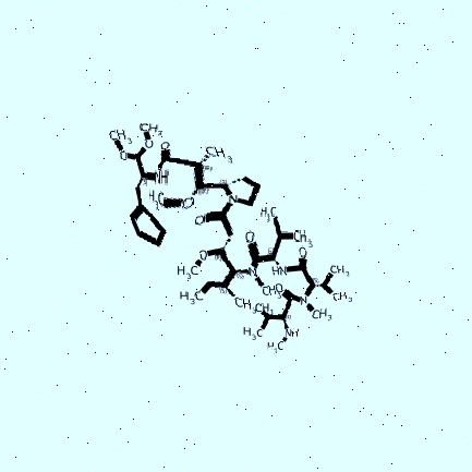 CC[C@H](C)[C@@H]([C@@H](CC(=O)N1CCC[C@H]1[C@H](OC)[C@@H](C)C(=O)N[C@@H](Cc1ccccc1)C(OC)OC)OC)N(C)C(=O)[C@@H](NC(=O)[C@H](C(C)C)N(C)C(=O)[C@@H](NC)C(C)C)C(C)C